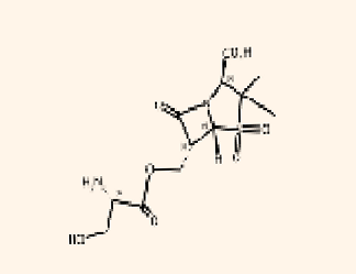 CC1(C)[C@H](C(=O)O)N2C(=O)[C@@H](COC(=O)[C@@H](N)CO)[C@H]2S1(=O)=O